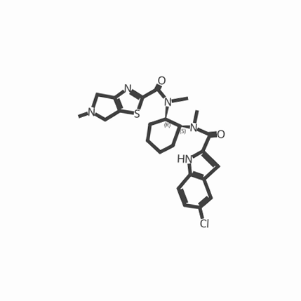 CN1Cc2nc(C(=O)N(C)[C@@H]3CCCC[C@@H]3N(C)C(=O)c3cc4cc(Cl)ccc4[nH]3)sc2C1